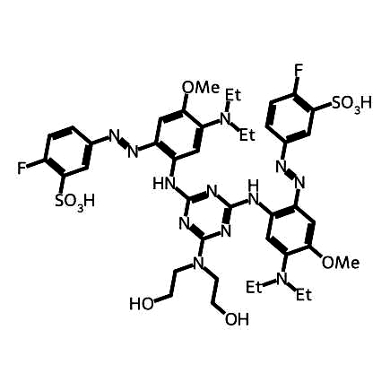 CCN(CC)c1cc(Nc2nc(Nc3cc(N(CC)CC)c(OC)cc3/N=N/c3ccc(F)c(S(=O)(=O)O)c3)nc(N(CCO)CCO)n2)c(/N=N/c2ccc(F)c(S(=O)(=O)O)c2)cc1OC